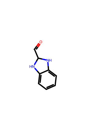 O=[C]C1Nc2ccccc2N1